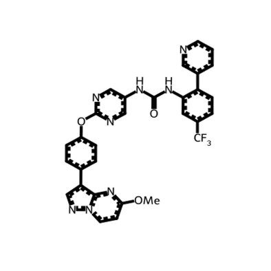 COc1ccn2ncc(-c3ccc(Oc4ncc(NC(=O)Nc5cc(C(F)(F)F)ccc5-c5cccnc5)cn4)cc3)c2n1